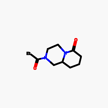 CCC(=O)N1CCN2C(=O)CCCC2C1